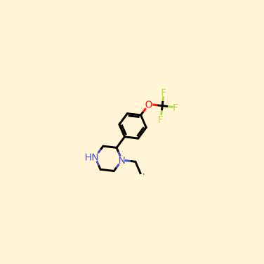 [CH2]CN1CCNCC1c1ccc(OC(F)(F)F)cc1